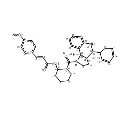 COc1ccc(/C=C/C(=O)N[C@@H]2CCCC[C@@H]2C(=O)N2CC[C@@H]3[C@H](C4C=CC=CC4)Nc4ccccc4[C@@H]32)cc1